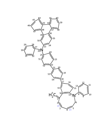 C=C1/C=C\C=C/CN(c2ccccc2)c2ccc(-c3ccc(-c4ccc(N(c5ccccc5)c5ccc6c7ccccc7c7ccccc7c6c5)cc4)cc3)cc21